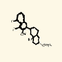 CCCCCCC[C@@H]1CC[C@@H]2CC(c3cc4cccc(F)c4c(F)c3C#N)CCC2C1